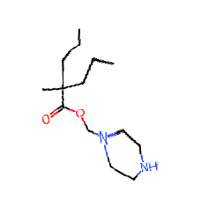 CCCC(C)(CCC)C(=O)OCN1CCNCC1